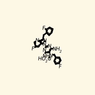 Nc1nc(-n2nc(Cc3ccccc3F)c3ncc(F)cc32)nc(N)c1N(Cc1ccc(F)cc1)C(=O)O